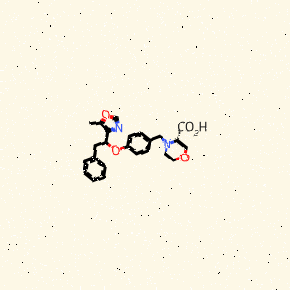 Cc1ocnc1C(Cc1ccccc1)Oc1ccc(CN2CCOC[C@H]2C(=O)O)cc1